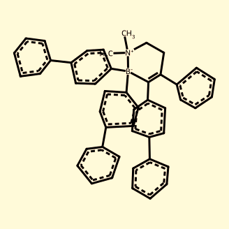 C[N+]1(C)CCC(c2ccccc2)=C(c2ccc(-c3ccccc3)cc2)[B-]1(c1ccc(-c2ccccc2)cc1)c1ccc(-c2ccccc2)cc1